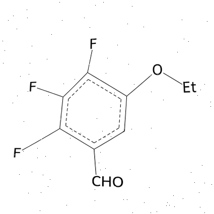 CCOc1cc(C=O)c(F)c(F)c1F